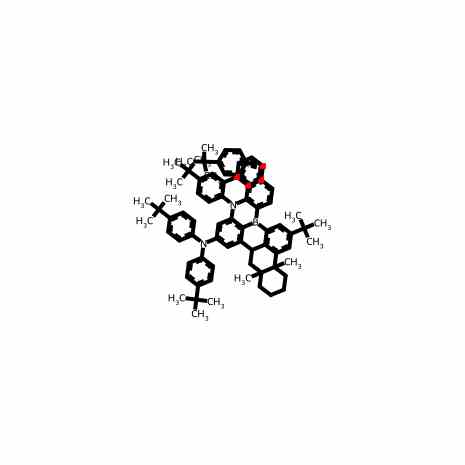 CC(C)(C)c1ccc(N(c2ccc(C(C)(C)C)cc2)c2cc3c4c(c2)N(c2ccc(C(C)(C)C)cc2-c2ccccc2)c2c(ccc5sc6ccc(C(C)(C)C)cc6c25)B4c2cc(C(C)(C)C)cc4c2C3CC2(C)CCCCC42C)cc1